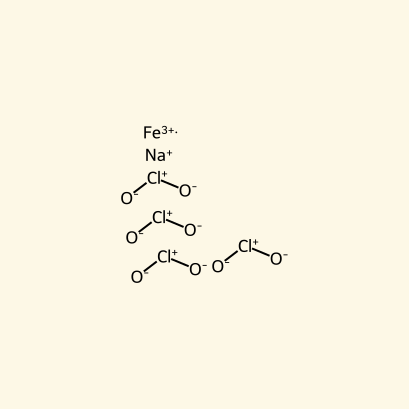 [Fe+3].[Na+].[O-][Cl+][O-].[O-][Cl+][O-].[O-][Cl+][O-].[O-][Cl+][O-]